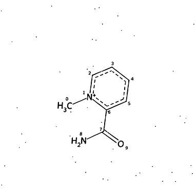 C[n+]1ccccc1C(N)=O